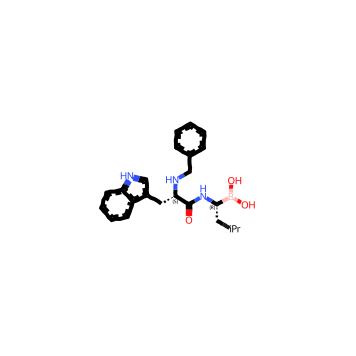 CC(C)C[C@H](NC(=O)[C@H](Cc1c[nH]c2ccccc12)NCc1ccccc1)B(O)O